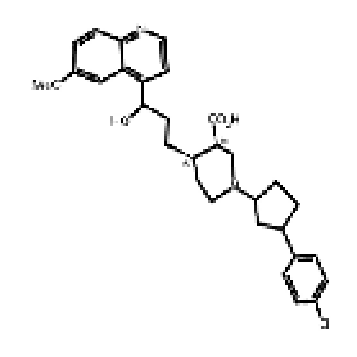 COc1ccc2nccc(C(O)CC[C@@H]3CCN(C4CCC(c5ccc(Cl)cc5)C4)C[C@@H]3C(=O)O)c2c1